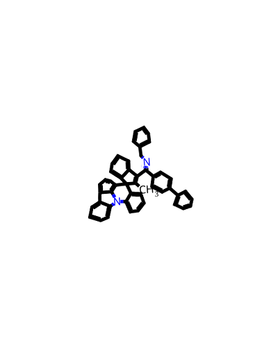 CC1=C(/C(=N\Cc2ccccc2)c2ccc(-c3ccccc3)cc2)c2ccccc2C12c1ccccc1-n1c3ccccc3c3cccc2c31